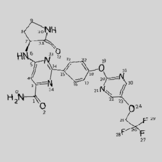 NC(=O)c1cc(N[C@H]2CCNC2=O)nc(-c2ccc(Oc3ncc(OCC(F)(F)F)cn3)cc2)n1